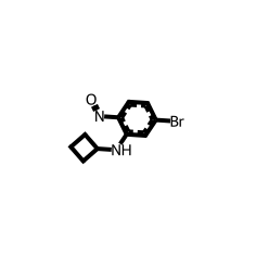 O=Nc1ccc(Br)cc1NC1CCC1